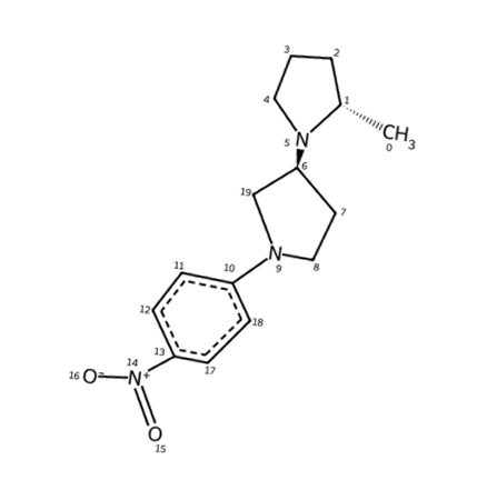 C[C@H]1CCCN1[C@H]1CCN(c2ccc([N+](=O)[O-])cc2)C1